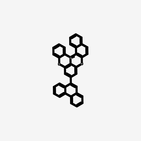 S=P12c3ccccc3Oc3cc(-c4cc5ccccc5c5ccccc45)cc(c31)Oc1ccc3ccccc3c12